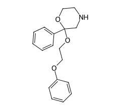 c1ccc(OCCOC2(c3ccccc3)CNCCO2)cc1